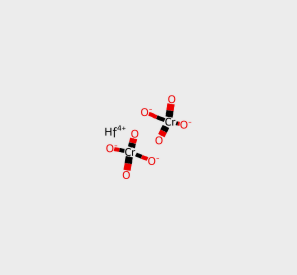 [Hf+4].[O]=[Cr](=[O])([O-])[O-].[O]=[Cr](=[O])([O-])[O-]